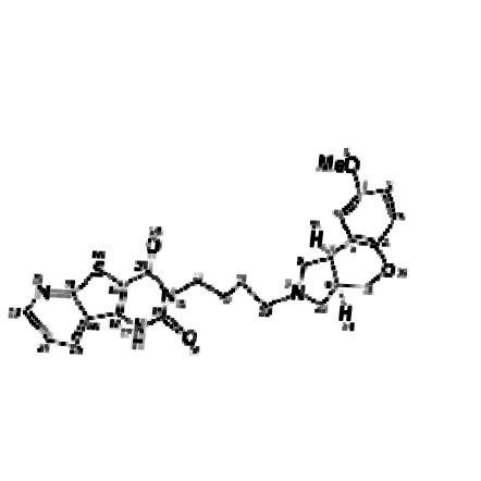 COc1ccc2c(c1)[C@@H]1CN(CCCCn3c(=O)[nH]c4c(sc5ncccc54)c3=O)C[C@@H]1CO2